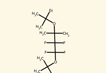 CCC(C)(C)OC(C)(C)C(F)(F)C(F)(F)OC(C)(C)C(F)(F)F